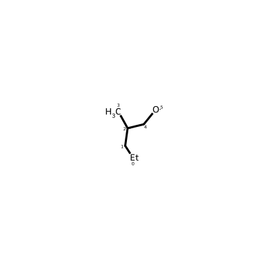 CCC[C](C)C[O]